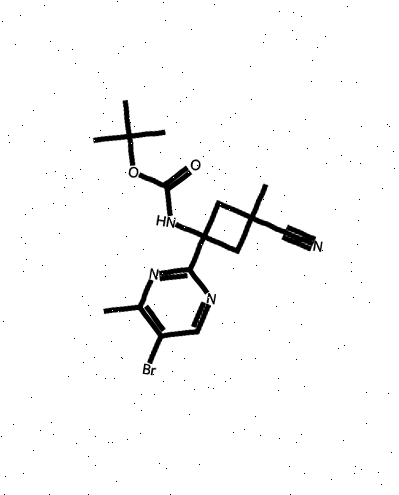 Cc1nc(C2(NC(=O)OC(C)(C)C)CC(C)(C#N)C2)ncc1Br